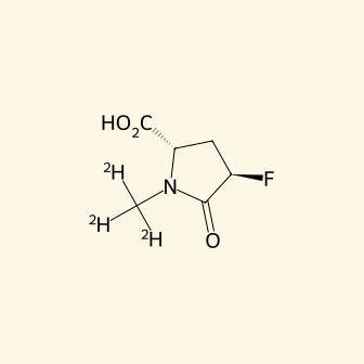 [2H]C([2H])([2H])N1C(=O)[C@H](F)C[C@H]1C(=O)O